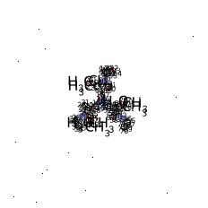 CC(C)(C)c1ccc2c(-c3ccc(N(c4ccc(-c5c6ccccc6c(/C=C/c6cccc7ccccc67)c6cc(C(C)(C)C)ccc56)cc4)c4ccc(-c5c6ccccc6c(/C=C/c6cccc7ccccc67)c6cc(C(C)(C)C)ccc56)cc4)cc3)c3ccccc3c(/C=C/c3cccc4ccccc34)c2c1